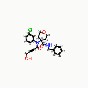 O=C(C#CCO)N(c1cccc(Cl)c1)C1(C(=O)NCc2ccccc2)CCOCC1